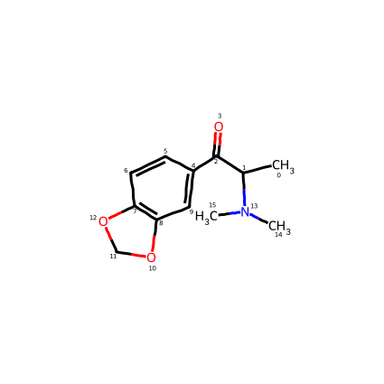 CC(C(=O)c1ccc2c(c1)OCO2)N(C)C